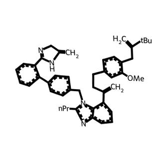 C=C1CN=C(c2ccccc2-c2ccc(Cn3c(CCC)nc4cccc(C(=C)CCc5ccc(CC(=C)C(C)(C)C)c(OC)c5)c43)cc2)N1